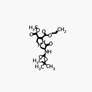 C=CCOC(=O)C1=C(C(=O)OC)CN2CC(NC(=O)OC(C)(C)C)C(=O)N12